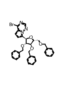 Brc1ncnn2c([C@H]3O[C@H](COCc4ccccc4)[C@@H](OCc4ccccc4)[C@@H]3OCc3ccccc3)ccc12